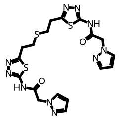 O=C(Cn1cccn1)Nc1nnc(CCSCCc2nnc(NC(=O)Cn3cccn3)s2)s1